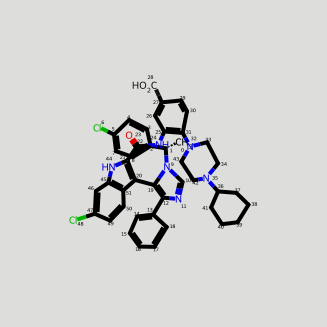 C[C@@H](c1ccc(Cl)cc1)n1cnc(-c2ccccc2)c1-c1c(C(=O)Nc2cc(C(=O)O)ccc2N2CCN(C3CCCCC3)CC2)[nH]c2cc(Cl)ccc12